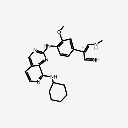 CN/C=C(\C=N)c1ccc(Nc2ncc3ccnc(NC4CCCCC4)c3n2)c(OC)c1